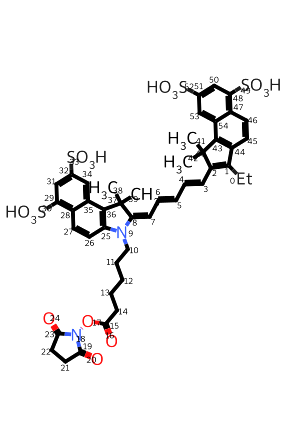 CCC1=C(/C=C/C=C/C=C2/N(CCCCCC(=O)ON3C(=O)CCC3=O)c3ccc4c(S(=O)(=O)O)cc(S(=O)(=O)O)cc4c3C2(C)C)C(C)(C)c2c1ccc1c(S(=O)(=O)O)cc(S(=O)(=O)O)cc21